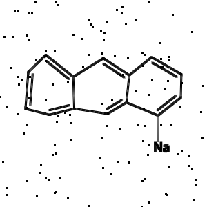 [Na][c]1cccc2cc3ccccc3cc12